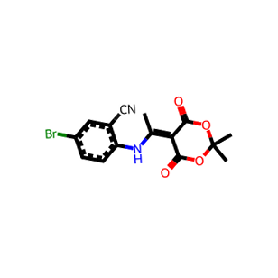 CC(Nc1ccc(Br)cc1C#N)=C1C(=O)OC(C)(C)OC1=O